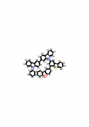 C1=Cc2c(oc3ccc(-c4cc(-n5c6ccccc6c6ccc(-c7ccc8c(c7)c7ccccc7n8-c7ccccc7)cc65)cc5c4sc4ccccc45)cc23)CC1